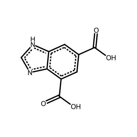 O=C(O)c1cc(C(=O)O)c2nc[nH]c2c1